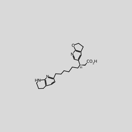 O=C(O)C[C@@H](CCCCCCc1ccc2c(n1)NCCC2)c1cnc2c(c1)CCO2